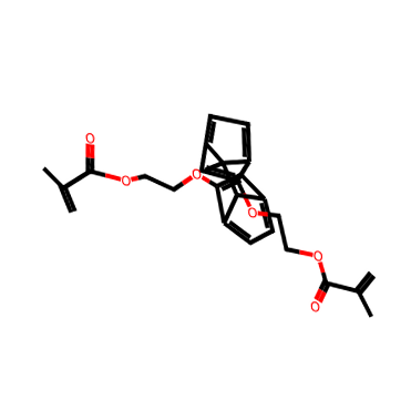 C=C(C)C(=O)OCCOC1=CC2=CC=C1C2C1(C)C2=CC=C1C(OCCOC(=O)C(=C)C)=C2